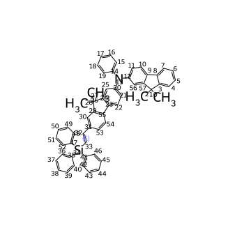 CC1(C)c2ccccc2-c2ccc(N(c3ccccc3)c3ccc4c(c3)C(C)(C)c3cc(/C=C/[Si](c5ccccc5)(c5ccccc5)c5ccccc5)ccc3-4)cc21